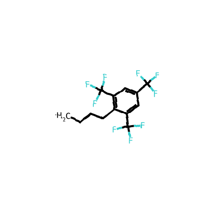 [CH2]CCCc1c(C(F)(F)F)cc(C(F)(F)F)cc1C(F)(F)F